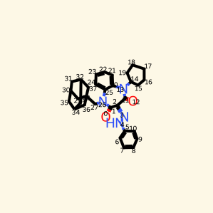 O=c1c(=NNc2ccccc2)c(=O)n(C2CCCCC2)c2ccccc2n1CC12CC3CC(CC(C3)C1)C2